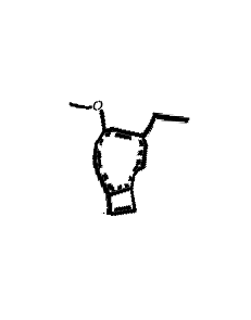 CCc1cc2c(cc1OC)[C]=C2